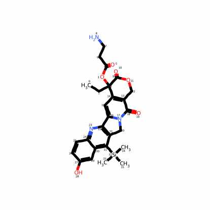 CCC1(OC(=O)CCN)C(=O)OCc2c1cc1n(c2=O)Cc2c-1nc1ccc(O)cc1c2[Si](C)(C)C